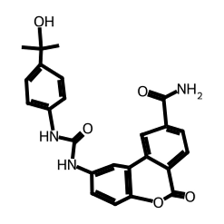 CC(C)(O)c1ccc(NC(=O)Nc2ccc3oc(=O)c4ccc(C(N)=O)cc4c3c2)cc1